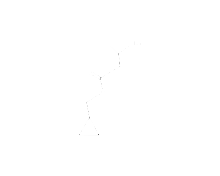 CC(CC(=O)OCC1CC1)C(C)(C)C